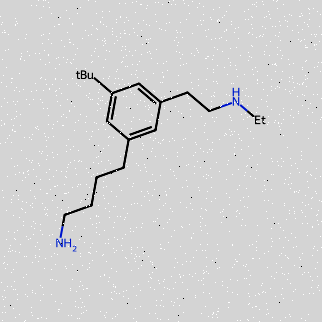 CCNCCc1cc(CCCCN)cc(C(C)(C)C)c1